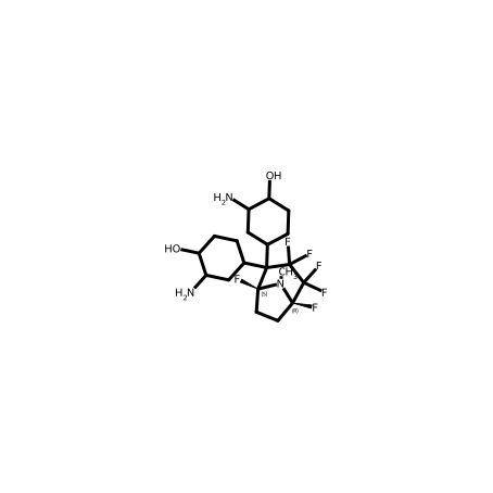 CN1[C@]2(F)CC[C@@]1(F)C(F)(F)C(F)(F)C2(C1CCC(O)C(N)C1)C1CCC(O)C(N)C1